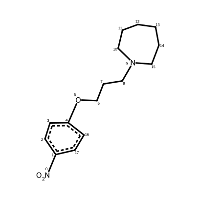 O=[N+]([O-])c1ccc(OCCCN2CCCCCC2)cc1